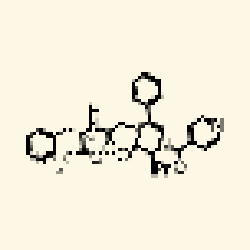 CC(C)C1C(=O)N(CC(=O)N[C@@H](Cc2ccccc2)C(=O)C(=O)O)C(c2ccccc2)=CN1C(=O)c1ccncc1